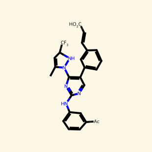 CC(=O)c1cccc(Nc2ncc(-c3cccc(/C=C/C(=O)O)c3)c(N3NC(C(F)(F)F)C=C3C)n2)c1